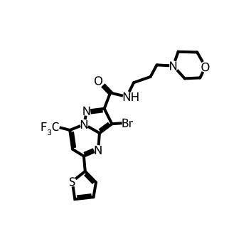 O=C(NCCCN1CCOCC1)c1nn2c(C(F)(F)F)cc(-c3cccs3)nc2c1Br